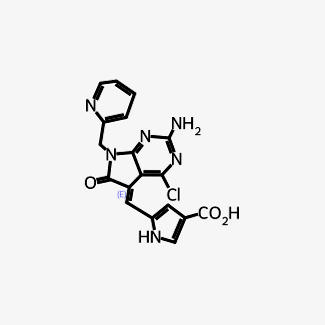 Nc1nc(Cl)c2c(n1)N(Cc1ccccn1)C(=O)/C2=C/c1cc(C(=O)O)c[nH]1